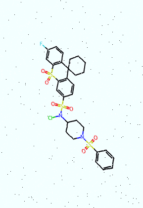 O=S1(=O)c2cc(F)ccc2C2(CCCCC2)c2ccc(S(=O)(=O)N(Cl)C3CCN(S(=O)(=O)c4ccccc4)CC3)cc21